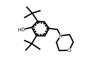 CC(C)(C)c1cc(CN2CCOCC2)cc(C(C)(C)C)c1O